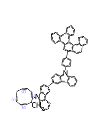 C=C1/C=C\C=C/C/C=C\C=C/1n1c2ccccc2c2cc(-c3ccc4c(c3)c3ccccc3n4-c3ccc(-c4cc5c6ccccc6c6ccccc6c5c5c4ccc4ccccc45)cc3)ccc21